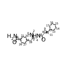 CN(C)[C@H](CNC(=O)C1C[C@@]1(C)c1ccccc1)Cc1ccc(C(N)=O)cc1